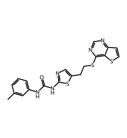 Cc1cccc(NC(=O)Nc2ncc(CCSc3ncnc4ccsc34)s2)c1